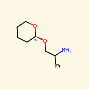 CC(C)C(N)CO[C@H]1CCCCO1